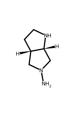 NN1C[C@@H]2CCN[C@@H]2C1